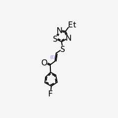 CCc1nsc(S/C=C/C(=O)c2ccc(F)cc2)n1